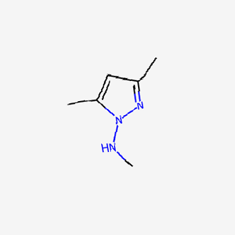 CNn1nc(C)cc1C